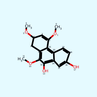 COC1=CC(OC)Cc2c(OC)c(O)c3cc(O)ccc3c21